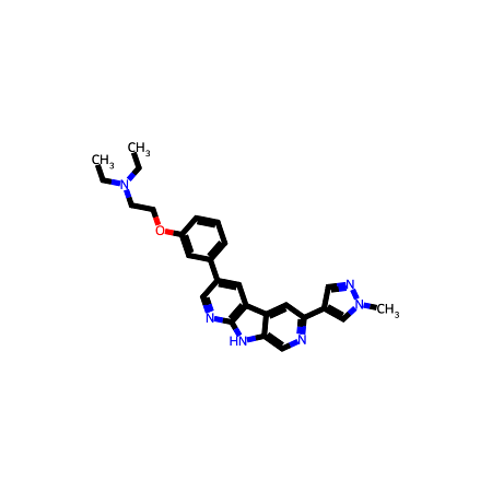 CCN(CC)CCOc1cccc(-c2cnc3[nH]c4cnc(-c5cnn(C)c5)cc4c3c2)c1